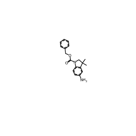 CC1(C)CN(C(=O)OCc2ccccc2)c2ccc(N)cc21